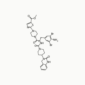 COC(=O)c1cnc(N2CCN(C(=O)[C@@H](Cc3cc(Br)c(N)c(Br)c3)NC(=O)N3CCC(N4Cc5ccccc5NC4=O)CC3)CC2)s1